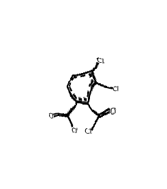 O=C(Cl)c1ccc(Cl)c(Cl)c1C(=O)Cl